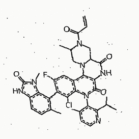 C=CC(=O)N1CC2C(=O)Nc3c(c4cc(F)c(-c5c(C)ccc6[nH]c(=O)n(C)c56)c(Cl)c4n(-c4c(C)ccnc4C(C)C)c3=O)N2CC1C